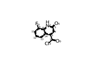 O=C(Cl)c1cc(=O)[nH]c2c(F)cccc12